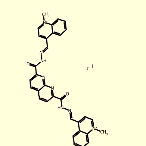 C[n+]1ccc(C=NNC(=O)c2ccc3ccc(C(=O)NN=Cc4cc[n+](C)c5ccccc45)nc3n2)c2ccccc21.[I-].[I-]